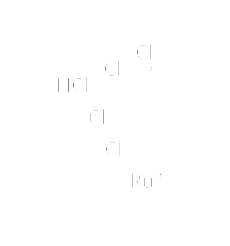 Cl.[Cl-].[Cl-].[Cl-].[Cl-].[Ru+4]